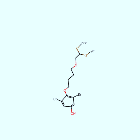 CCCSC(COCCCCOc1c(CC)cc(O)cc1CC)SCCC